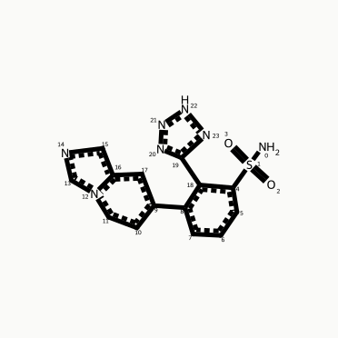 NS(=O)(=O)c1cccc(-c2ccn3cncc3c2)c1-c1nn[nH]n1